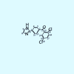 O=C(c1ccc(-c2ncc[nH]2)cc1)c1cc(Cl)ccc1Cl